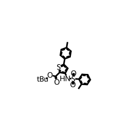 Cc1ccc(-c2cc(NS(=O)(=O)c3ccccc3C)c(C(=O)OC(C)(C)C)s2)cc1